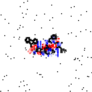 CC(C)CC(NC(=O)C(C)N(C)C(=O)OCC1c2ccccc2-c2ccccc21)C(=O)N(C)C(CC(C)C)C(=O)NC(C)C(=O)N(C)C(Cc1ccccc1)C(=O)NCC(=O)N(C)C(CC(C)C)C(=O)NC(C)C(=O)NC(C)C(=O)O